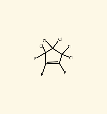 FC1=C(F)C(Cl)(Cl)C(Cl)(Cl)C1(F)Cl